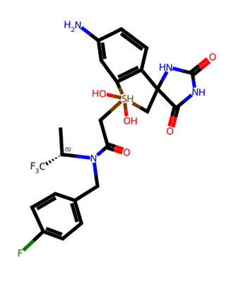 C[C@H](N(Cc1ccc(F)cc1)C(=O)C[SH]1(O)(O)CC2(NC(=O)NC2=O)c2ccc(N)cc21)C(F)(F)F